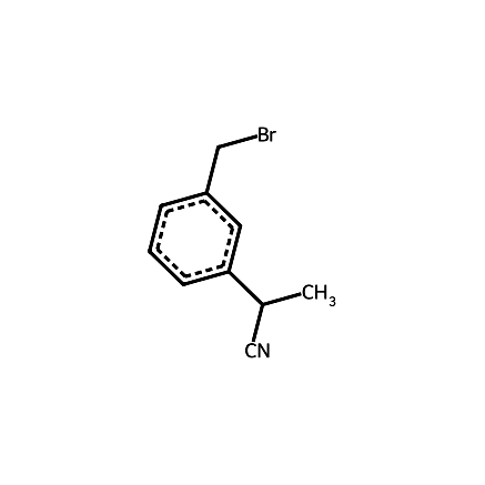 CC(C#N)c1cccc(CBr)c1